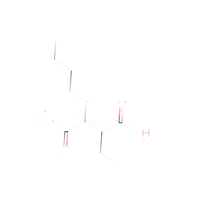 CCCCC/C(C(=O)O)=C(/CC)C(=O)O